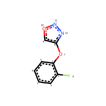 Fc1ccccc1Oc1conn1